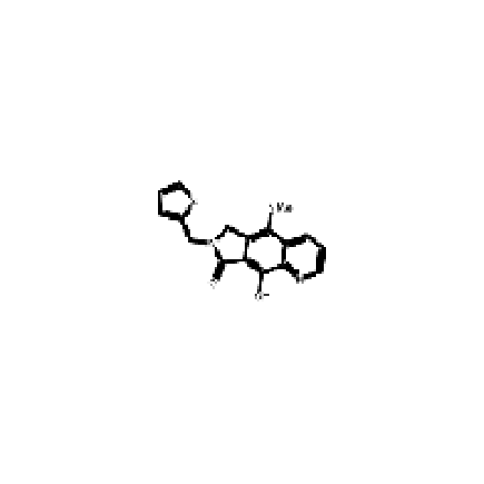 CNc1c2c(c(O)c3ncccc13)C(=O)N(Cc1cccs1)C2